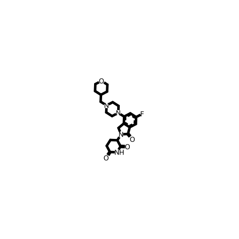 O=C1CCC(N2Cc3c(cc(F)cc3N3CCN(CC4CCOCC4)CC3)C2=O)C(=O)N1